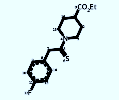 CCOC(=O)C1CCN(C(=S)Cc2ccc(F)cc2)CC1